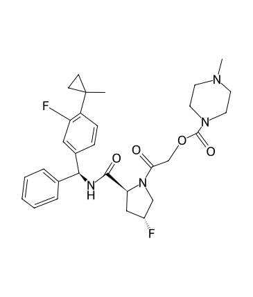 CN1CCN(C(=O)OCC(=O)N2C[C@H](F)C[C@H]2C(=O)N[C@@H](c2ccccc2)c2ccc(C3(C)CC3)c(F)c2)CC1